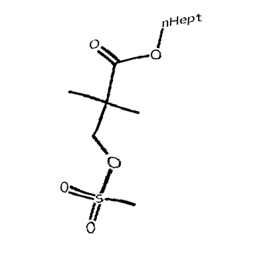 CCCCCCCOC(=O)C(C)(C)COS(C)(=O)=O